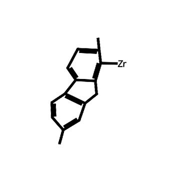 Cc1ccc2c(c1)Cc1c-2ccc(C)[c]1[Zr]